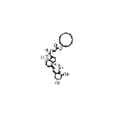 C=C1/C(=C\C=C2/CCC[C@]3(C)C(C(C)OCC(=O)OC4CCCCCCCCCCC4)=CC[C@@H]23)C[C@@H](O)C[C@@H]1O